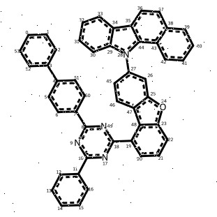 c1ccc(-c2ccc(-c3nc(-c4ccccc4)nc(-c4cccc5oc6cc(-n7c8ccccc8c8ccc9ccccc9c87)ccc6c45)n3)cc2)cc1